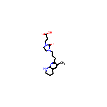 Cc1cc2c(nc1CCCN1CCN(CCC(=O)O)C1=O)NCCC2